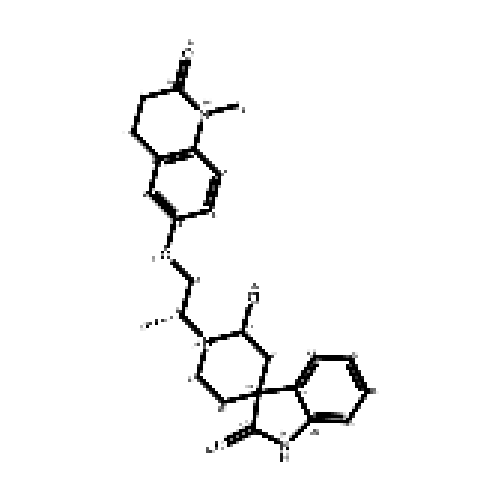 C[C@H](COc1ccc2c(c1)CCC(=O)N2C)N1CCC2(CC1Cl)C(=O)Nc1ccccc12